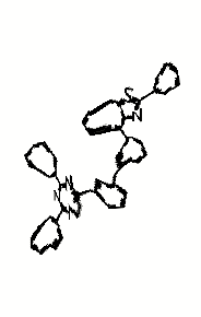 c1ccc(-c2nc(-c3ccccc3)nc(-c3cccc(-c4cccc(-c5cccc6sc(-c7ccccc7)nc56)c4)c3)n2)cc1